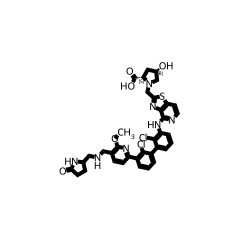 COc1nc(-c2cccc(-c3cccc(Nc4nccc5sc(CN6C[C@H](O)C[C@H]6C(=O)O)nc45)c3Cl)c2Cl)ccc1CNCC1CCC(=O)N1